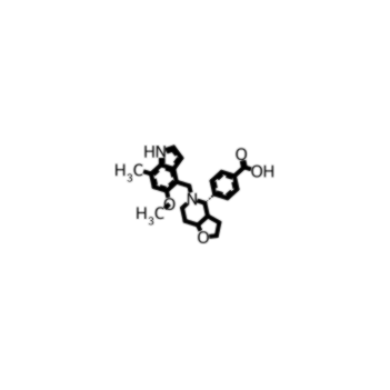 COc1cc(C)c2[nH]ccc2c1CN1CCC2OCCC2[C@H]1c1ccc(C(=O)O)cc1